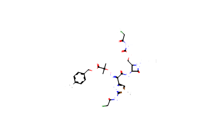 CC(C)(O/N=C(\C(=O)NC1C(=O)N(S(=O)(=O)O)C1COC(=O)NC(=O)CCl)c1csc(NC(=O)CCl)n1)C(=O)OCc1ccc([N+](=O)[O-])cc1.[NaH]